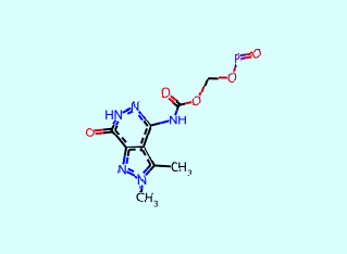 Cc1c2c(NC(=O)OCOP=O)n[nH]c(=O)c2nn1C